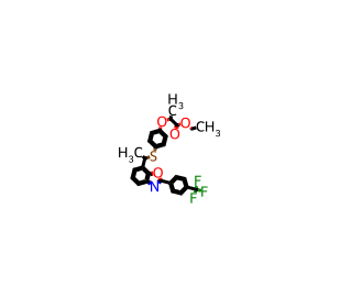 CCOC(=O)C(C)Oc1ccc(SC(C)c2cccc3nc(-c4ccc(C(F)(F)F)cc4)oc23)cc1